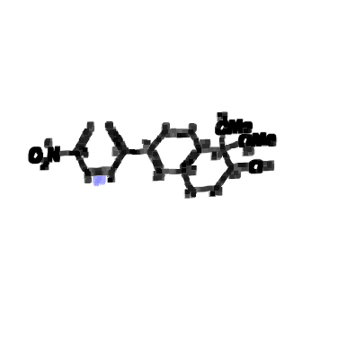 C=C(/C=C\C(=C)[N+](=O)[O-])c1ccc2c(c1)CCC(=O)C2(OC)OC